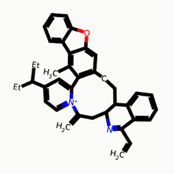 C=CC1=NC2CC(=C)[n+]3ccc(C(CC)CC)cc3-c3c(cc4oc5ccccc5c4c3C)CCC2c2ccccc21